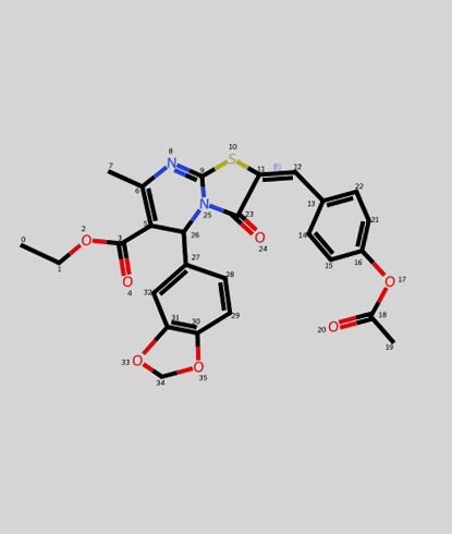 CCOC(=O)C1=C(C)N=c2s/c(=C/c3ccc(OC(C)=O)cc3)c(=O)n2C1c1ccc2c(c1)OCO2